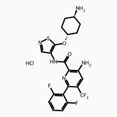 Cl.Nc1cc(C(F)(F)F)c(-c2c(F)cccc2F)nc1C(=O)Nc1cnsc1O[C@H]1CC[C@H](N)CC1